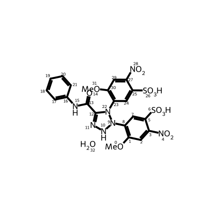 COc1cc([N+](=O)[O-])c(S(=O)(=O)O)cc1N1NN=C(C(=O)Nc2ccccc2)N1c1cc(S(=O)(=O)O)c([N+](=O)[O-])cc1OC.O